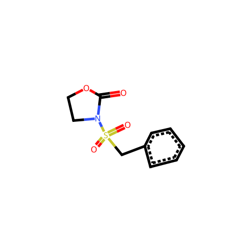 O=C1OCCN1S(=O)(=O)Cc1ccccc1